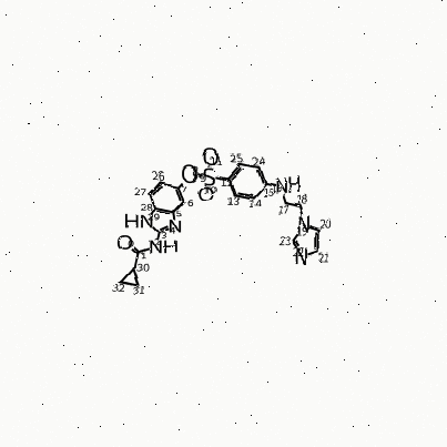 O=C(Nc1nc2cc(OS(=O)(=O)c3ccc(NCCn4ccnc4)cc3)ccc2[nH]1)C1CC1